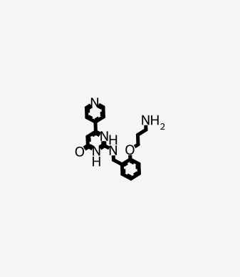 NCCCOc1ccccc1CNc1nc(-c2ccncc2)cc(=O)[nH]1